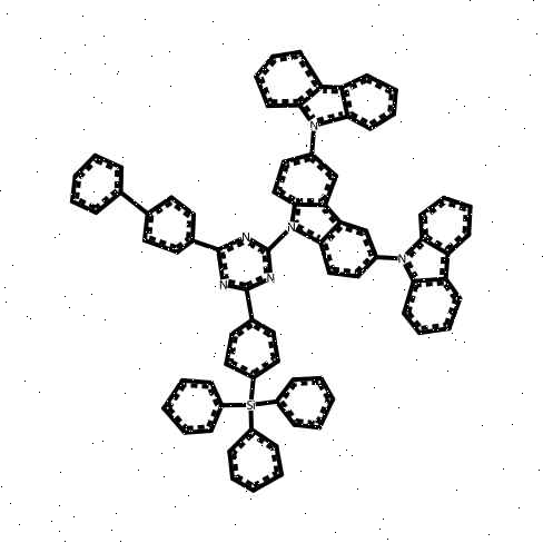 c1ccc(-c2ccc(-c3nc(-c4ccc([Si](c5ccccc5)(c5ccccc5)c5ccccc5)cc4)nc(-n4c5ccc(-n6c7ccccc7c7ccccc76)cc5c5cc(-n6c7ccccc7c7ccccc76)ccc54)n3)cc2)cc1